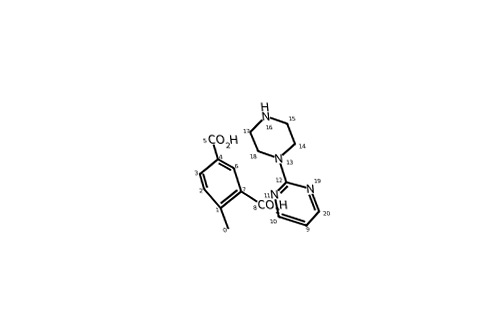 Cc1ccc(C(=O)O)cc1C(=O)O.c1cnc(N2CCNCC2)nc1